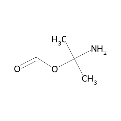 CC(C)(N)OC=O